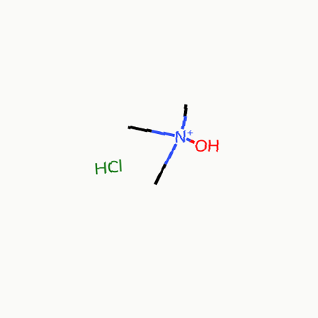 C[N+](C)(C)O.Cl